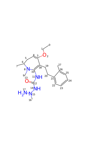 CCOC1=CCC(C)N(C)C(NC(=O)NN(C)N)=C1CCc1ccccc1C